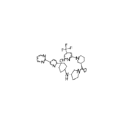 O=C([C@@H]1CCCN(c2cc(C(F)(F)F)ccn2)C1)N1CC[C@H](NC2CCC(O)(c3ccc(-c4ncccn4)cn3)CC2)C1